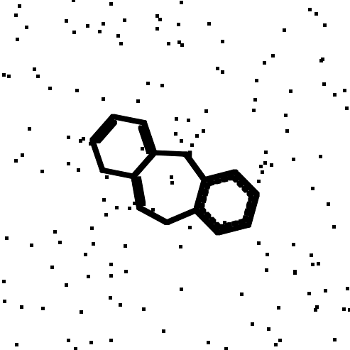 [C]1C2=CC=CCC2=CCc2ccccc21